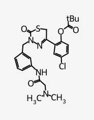 CN(C)CC(=O)Nc1cccc(CN2N=C(c3cc(Cl)ccc3OC(=O)C(C)(C)C)CSC2=O)c1